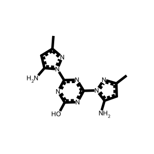 Cc1cc(N)n(-c2nc(O)nc(-n3nc(C)cc3N)n2)n1